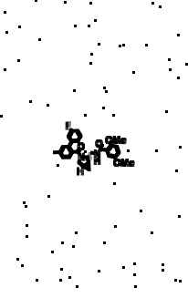 COc1ccc(OC)c(C(=O)NC[C@@H]2C3C[C@@H]3CN2C(=O)c2ccc(C)cc2-c2cccc(F)c2)c1